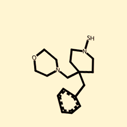 SN1CCC(Cc2ccccc2)(CN2CCOCC2)CC1